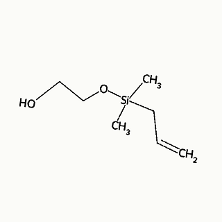 C=CC[Si](C)(C)OCCO